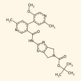 COc1cnc(C)cc1-c1cc(C)ncc1C(=O)Nc1nc2c(s1)CN(C(=O)OC(C)(C)C)C2